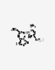 CCOC(=O)c1cc(N)[nH]n1.O=Cc1ccc2nc[nH]c2c1